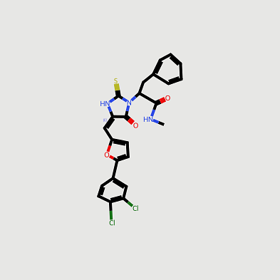 CNC(=O)C(Cc1ccccc1)N1C(=O)/C(=C\c2ccc(-c3ccc(Cl)c(Cl)c3)o2)NC1=S